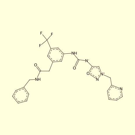 O=C(Cc1cc(NC(=O)[N-]c2c[n+](Cc3ccccn3)no2)cc(C(F)(F)F)c1)NCc1ccccc1